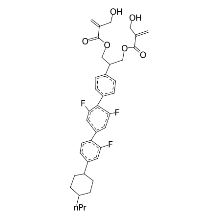 C=C(CO)C(=O)OCC(COC(=O)C(=C)CO)c1ccc(-c2c(F)cc(-c3ccc(C4CCC(CCC)CC4)cc3F)cc2F)cc1